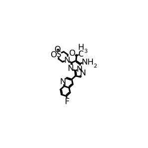 CC(=O)c1c(N2CCS(=O)(=O)CC2)nc2c(-c3cnc4ccc(F)cc4c3)cnn2c1N